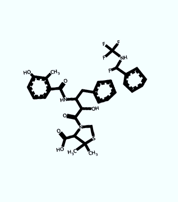 Cc1c(O)cccc1C(=O)NC(Cc1ccccc1)C(O)C(=O)N1CSC(C)(C)C1C(=O)O.FC(NC(F)(F)F)c1ccccc1